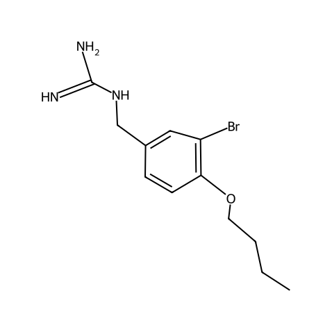 CCCCOc1ccc(CNC(=N)N)cc1Br